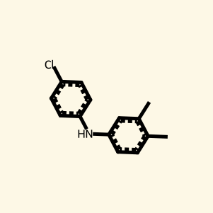 Cc1ccc(Nc2ccc(Cl)cc2)cc1C